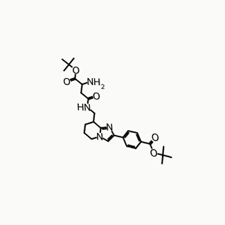 CC(C)(C)OC(=O)c1ccc(-c2cn3c(n2)C(CNC(=O)CC(N)C(=O)OC(C)(C)C)CCC3)cc1